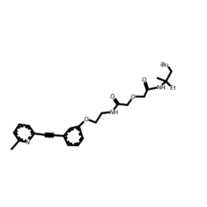 CCC(C)CC(C)(CC)NC(=O)COCC(=O)NCCOc1cccc(C#Cc2cccc(C)n2)c1